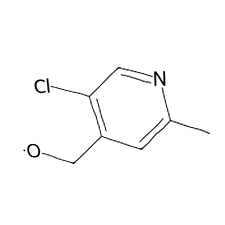 Cc1cc(C[O])c(Cl)cn1